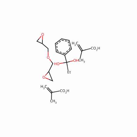 C(OCC1CO1)C1CO1.C=C(C)C(=O)O.C=C(C)C(=O)O.CCC(O)(O)c1ccccc1